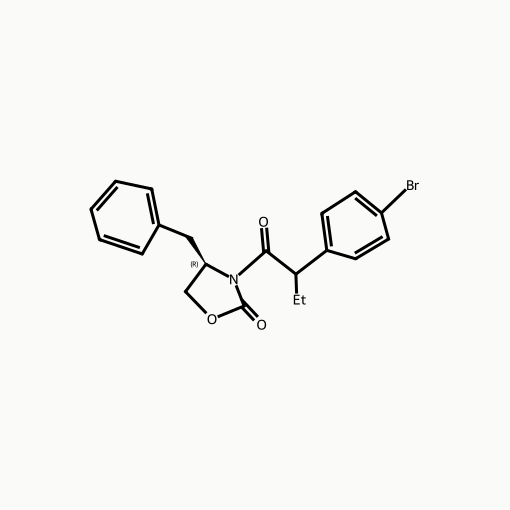 CCC(C(=O)N1C(=O)OC[C@H]1Cc1ccccc1)c1ccc(Br)cc1